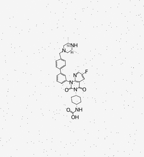 C[C@@H]1CN(Cc2ccc(-c3cccc(-n4c(=O)n([C@H]5CC[C@@H](NC(=O)O)CC5)c(=O)c5cc(F)cnc54)c3)cc2)C[C@H](C)N1